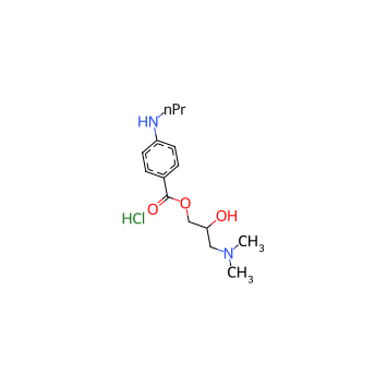 CCCNc1ccc(C(=O)OCC(O)CN(C)C)cc1.Cl